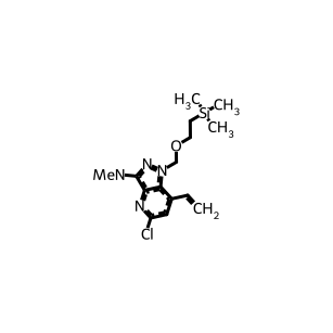 C=Cc1cc(Cl)nc2c(NC)nn(COCC[Si](C)(C)C)c12